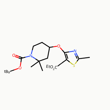 CCOC(=O)c1sc(C)nc1OC1CCN(C(=O)OC(C)(C)C)C(C)(C)C1